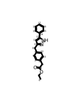 CCOC(=O)Cc1ccc(Cc2cc(-c3ccccc3)[nH]n2)cc1